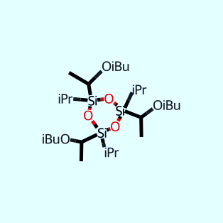 CC(C)COC(C)[Si]1(C(C)C)O[Si](C(C)C)(C(C)OCC(C)C)O[Si](C(C)C)(C(C)OCC(C)C)O1